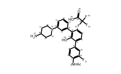 CC(=O)Nc1ccc(-c2cccc(-c3cccc(N4CCC(N)CC4)c3)c2O)cc1F.O=C(O)C(F)(F)F